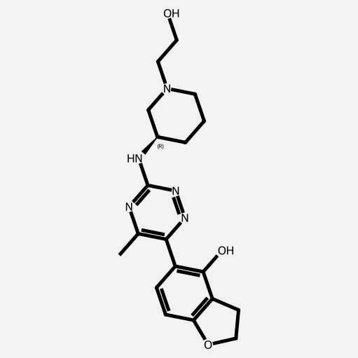 Cc1nc(N[C@@H]2CCCN(CCO)C2)nnc1-c1ccc2c(c1O)CCO2